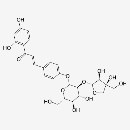 O=C(/C=C/c1ccc(O[C@H]2O[C@@H](CO)[C@H](O)[C@@H](O)[C@@H]2O[C@H]2OC[C@@](O)(CO)[C@@H]2O)cc1)c1ccc(O)cc1O